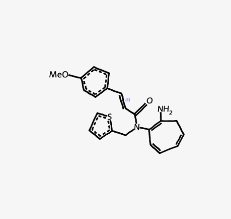 COc1ccc(/C=C/C(=O)N(Cc2cccs2)C2=C(N)CC=CC=C2)cc1